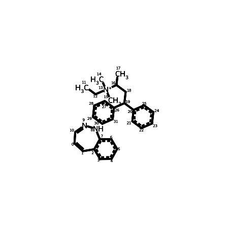 C1=Cc2ccccc2NN=C1.CC[N+](C)(C)C(C)CC(c1ccccc1)c1ccccc1